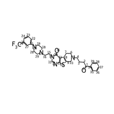 O=C(CCCN1CCc2c(sc3ncn(CCN4CCN(c5cccc(C(F)(F)F)c5)CC4)c(=O)c23)C1)c1ccccc1